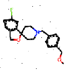 COCc1ccc(CN2CCC3(CC2)OCc2ccc(F)cc23)cc1